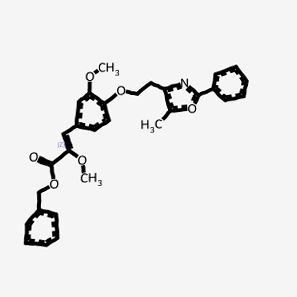 CO/C(=C\c1ccc(OCCc2nc(-c3ccccc3)oc2C)c(OC)c1)C(=O)OCc1ccccc1